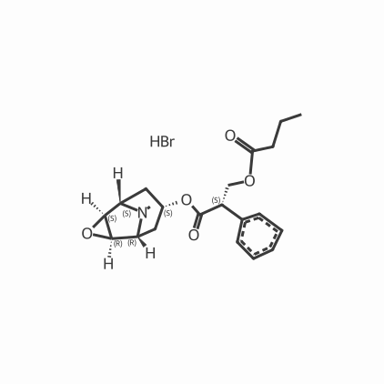 Br.CCCC(=O)OC[C@@H](C(=O)O[C@@H]1C[C@@H]2[C@H]3O[C@H]3[C@H](C1)N2C)c1ccccc1